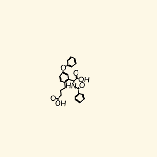 O=C(O)CCCc1ccc(Oc2ccccc2)cc1C(NC(=O)c1ccccc1)C(=O)O